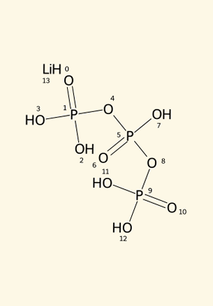 O=P(O)(O)OP(=O)(O)OP(=O)(O)O.[LiH]